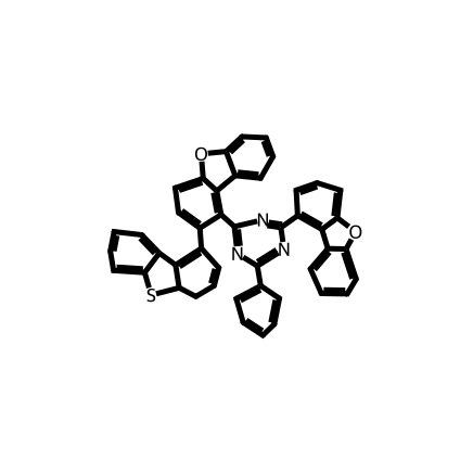 C1=CC(c2ccc3oc4ccccc4c3c2-c2nc(-c3ccccc3)nc(-c3cccc4oc5ccccc5c34)n2)=C2c3ccccc3SC2C1